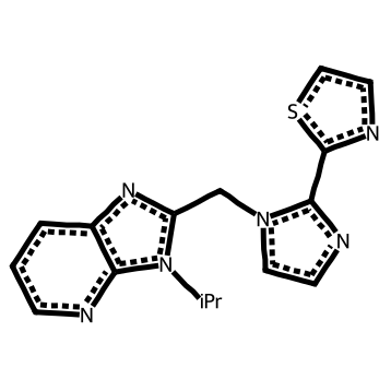 CC(C)n1c(Cn2ccnc2-c2nccs2)nc2cccnc21